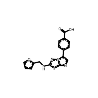 O=C(O)c1ccc(-c2cnc3sc(NCc4ccco4)nn23)cc1